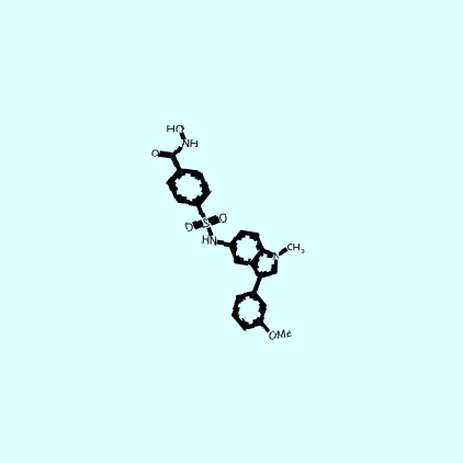 COc1cccc(-c2cn(C)c3ccc(NS(=O)(=O)c4ccc(C(=O)NO)cc4)cc23)c1